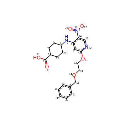 O=C(O)C1CCC(Nc2cc(OCCOCc3ccccc3)ncc2[N+](=O)[O-])CC1